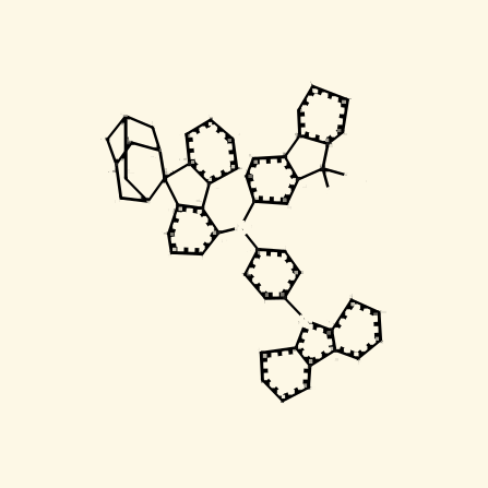 CC1(C)c2ccccc2-c2ccc(N(c3ccc(-n4c5ccccc5c5ccccc54)cc3)c3cccc4c3-c3ccccc3C43C4CC5CC(C4)CC3C5)cc21